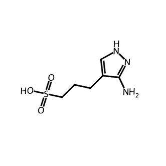 Nc1n[nH]cc1CCCS(=O)(=O)O